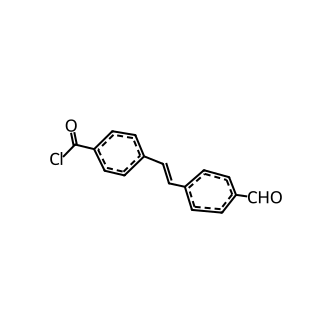 O=Cc1ccc(C=Cc2ccc(C(=O)Cl)cc2)cc1